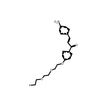 O=C(C=Cc1ccc([N+](=O)[O-])cc1)c1ccc(OCCOCCOCCF)cc1